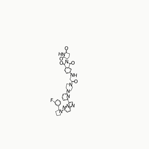 O=C1CCC(N2C(=O)c3ccc(NCC(=O)N4CCN(c5cccc(-c6cnc7ccc(N8CCCC8c8cccc(F)c8)nn67)n5)CC4)cc3C2=O)C(=O)N1